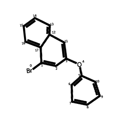 Brc1cc(Oc2ccccc2)cc2ccccc12